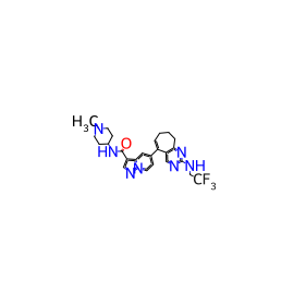 CN1CCC(NC(=O)c2cnn3ccc(C4=CCCCc5nc(NCC(F)(F)F)ncc54)cc23)CC1